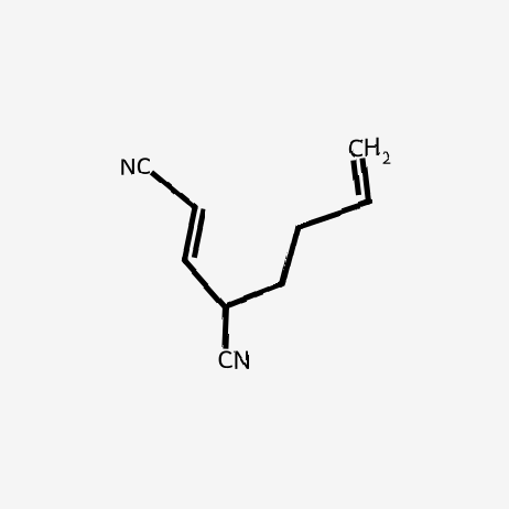 C=CCCC(C#N)C=CC#N